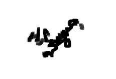 Cc1cc(CC(C)C)c(C(=O)NCC(F)(F)F)s1